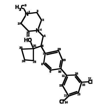 CN1CCN(CC(c2ccc(-c3cc(Cl)cc(Cl)c3)cc2)C2(O)CCC2)CC1